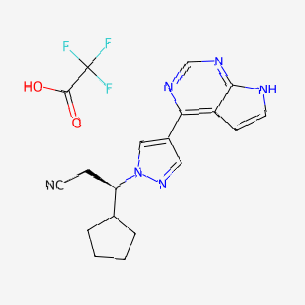 N#CC[C@H](C1CCCC1)n1cc(-c2ncnc3[nH]ccc23)cn1.O=C(O)C(F)(F)F